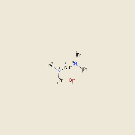 CC(C)[N]([Nd+][N](C(C)C)C(C)C)C(C)C.[Br-]